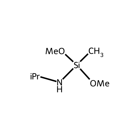 CO[Si](C)(NC(C)C)OC